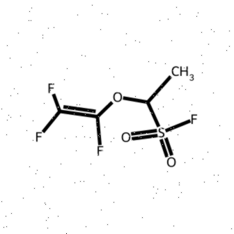 CC(OC(F)=C(F)F)S(=O)(=O)F